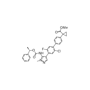 COC(=O)C1(c2ccc(-c3cc(F)c(-c4cnn(C)c4NC(=O)O[C@H](C)c4ccccc4)cc3Cl)cc2)CC1